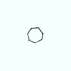 [CH]1CCC[N]CC1